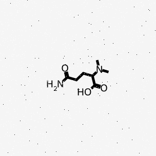 CN(C)C(CCC(N)=O)C(=O)O